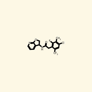 Cc1c(Cl)cc(C(F)(F)F)c(CC(=O)NC2COc3ncccc32)c1F